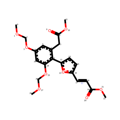 COCOc1cc(CC(=O)OC)c(-c2ccc(/C=C/C(=O)OC)o2)c(OCOC)c1